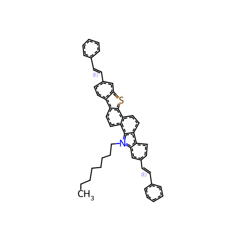 CCCCCCCCn1c2cc(/C=C/c3ccccc3)ccc2c2ccc3c(ccc4c5ccc(/C=C/c6ccccc6)cc5sc43)c21